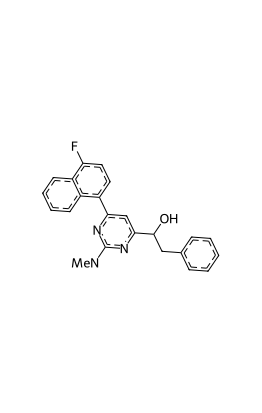 CNc1nc(-c2ccc(F)c3ccccc23)cc(C(O)Cc2ccccc2)n1